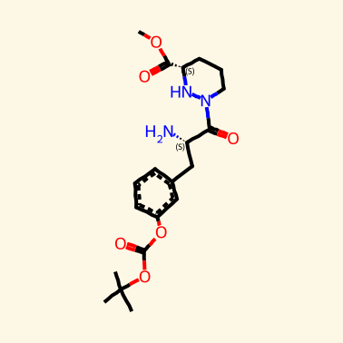 COC(=O)[C@@H]1CCCN(C(=O)[C@@H](N)Cc2cccc(OC(=O)OC(C)(C)C)c2)N1